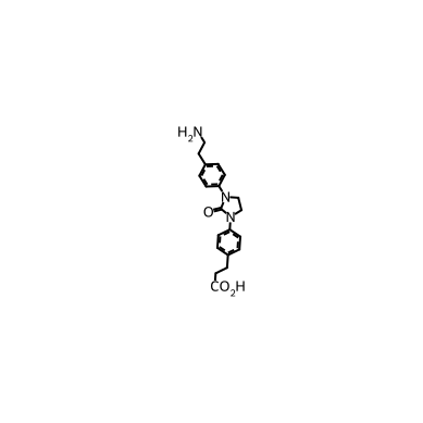 NCCc1ccc(N2CCN(c3ccc(CCC(=O)O)cc3)C2=O)cc1